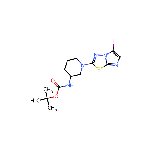 CC(C)(C)OC(=O)NC1CCCN(c2nn3c(I)cnc3s2)C1